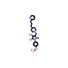 Cn1c(CN2CCC(CCCc3ccccn3)CC2)c(Cl)c(=O)n1-c1ccc(OC(F)(F)F)cc1